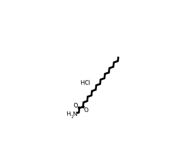 CCCCCCCCCCCCCCCCCC(=O)C(=O)CN.Cl